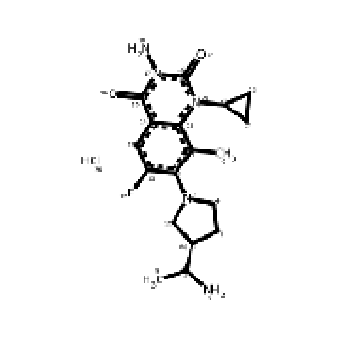 Cc1c(N2CC[C@@H](C(C)N)C2)c(F)cc2c(=O)n(N)c(=O)n(C3CC3)c12.Cl